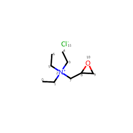 CC[N+](CC)(CC)CC1CO1.[Cl-]